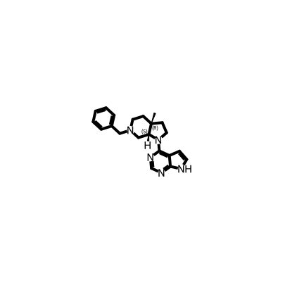 C[C@]12CCN(Cc3ccccc3)C[C@H]1N(c1ncnc3[nH]ccc13)CC2